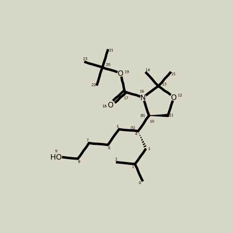 CC(C)C[C@H](CCCCO)[C@@H]1COC(C)(C)N1C(=O)OC(C)(C)C